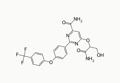 NC(=O)c1cc(OC(CO)C(N)=O)nc(-c2ccc(Oc3ccc(C(F)(F)F)cc3)cc2)n1